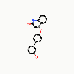 O=c1cc(Oc2ccc(-c3cccc(O)c3)cc2)c2ccccc2[nH]1